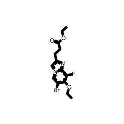 CCOC(=O)CCc1cn2cc(Br)c(OCC)c(F)c2n1